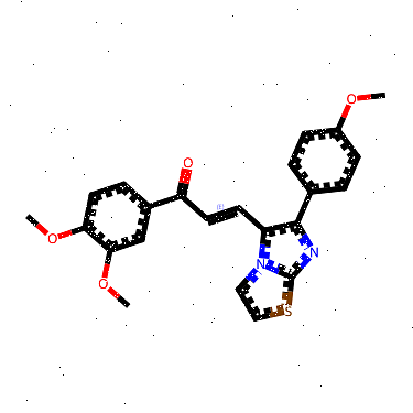 COc1ccc(-c2nc3sccn3c2/C=C/C(=O)c2ccc(OC)c(OC)c2)cc1